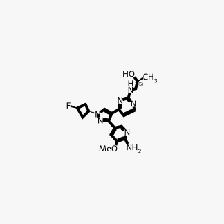 COc1cc(-c2nn([C@H]3C[C@H](F)C3)cc2-c2ccnc(NC[C@H](C)O)n2)cnc1N